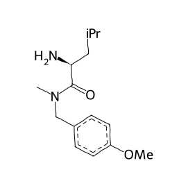 COc1ccc(CN(C)C(=O)[C@@H](N)CC(C)C)cc1